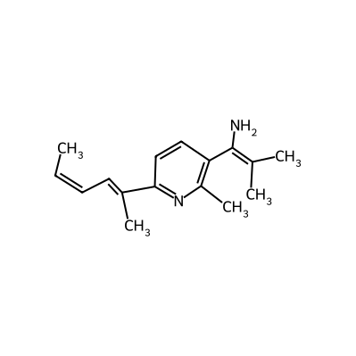 C/C=C\C=C(/C)c1ccc(C(N)=C(C)C)c(C)n1